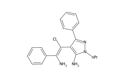 CCCn1nc(-c2ccccc2)c(/C(Cl)=C(\N)c2ccccc2)c1N